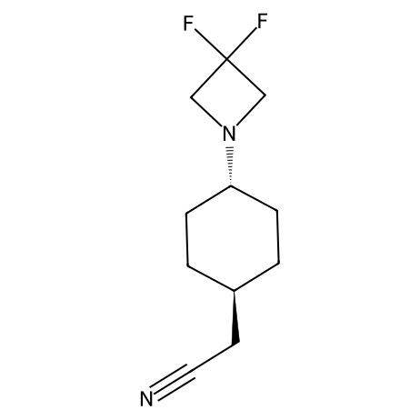 N#CC[C@H]1CC[C@H](N2CC(F)(F)C2)CC1